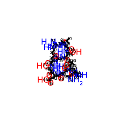 CC(C)C[C@H](NC(C)(C)C)C(=O)N[C@H](CO)C(=O)NCC(=O)N[C@H](CCCCNC(=N)N)C(=O)N[C@@H](CO)C(=O)N[C@H](CCC(=O)O)C(=O)N[C@@H](CC(N)=O)C(=O)N[C@H](Cc1c[nH]cn1)C(=O)C(C)(C)C